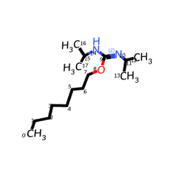 CCCCCCCCO/C(=N\C(C)C)NC(C)C